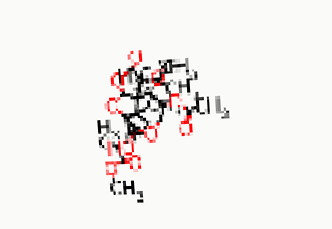 COC(=O)C(C)[C@H]1CCC2(C)C13OC1OC(=O)[C@H](OC)C12[C@H](C(C)(C)C)[C@@H](OC(C)=O)CO[C@H]3O